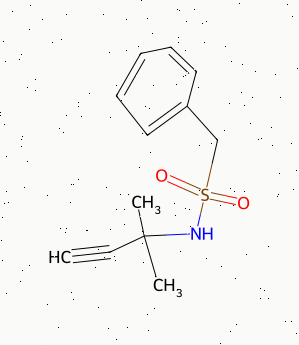 C#CC(C)(C)NS(=O)(=O)Cc1ccccc1